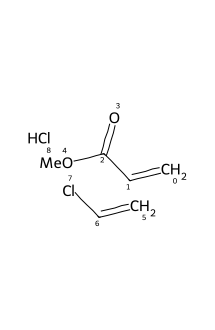 C=CC(=O)OC.C=CCl.Cl